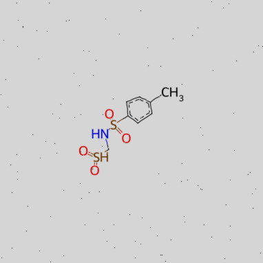 Cc1ccc(S(=O)(=O)NC[SH](=O)=O)cc1